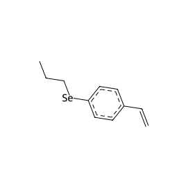 C=Cc1ccc([Se]CCC)cc1